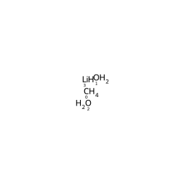 C.O.O.[LiH]